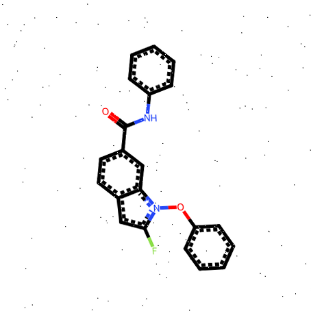 O=C(Nc1ccccc1)c1ccc2cc(F)n(Oc3ccccc3)c2c1